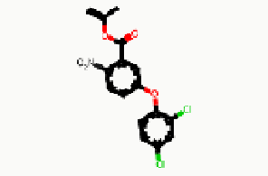 C=C(C)OC(=O)c1cc(Oc2ccc(Cl)cc2Cl)ccc1[N+](=O)[O-]